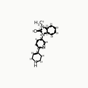 Cn1c(=O)n(-c2ccc(C3=CCNCC3)nc2)c2ccccc21